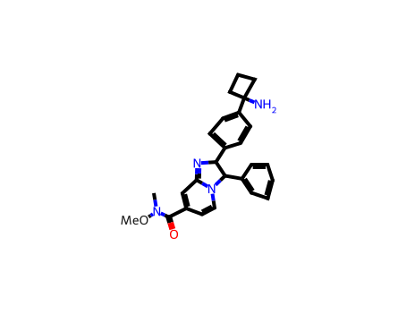 CON(C)C(=O)C1=CC2=NC(c3ccc(C4(N)CCC4)cc3)C(c3ccccc3)N2C=C1